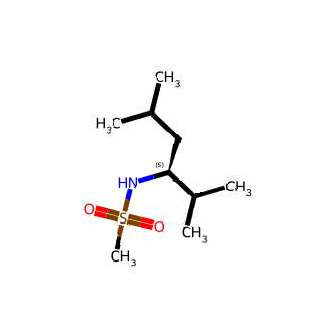 CC(C)C[C@H](NS(C)(=O)=O)C(C)C